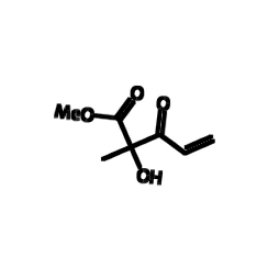 C=CC(=O)C(C)(O)C(=O)OC